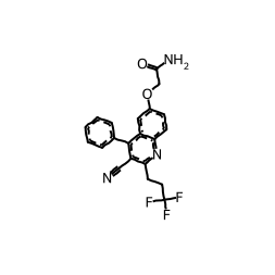 N#Cc1c(CCC(F)(F)F)nc2ccc(OCC(N)=O)cc2c1-c1ccccc1